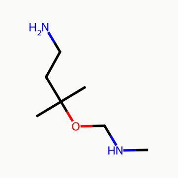 CNCOC(C)(C)CCN